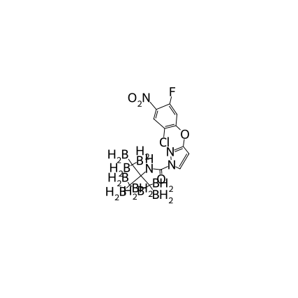 BC(B)(B)C(NC(=O)n1ccc(Oc2cc(F)c([N+](=O)[O-])cc2Cl)n1)(C(B)(B)B)C(B)(B)B